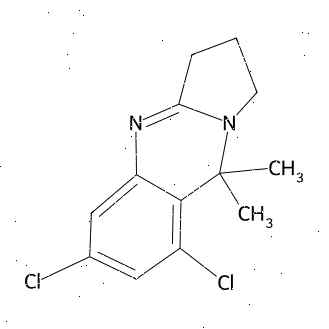 CC1(C)c2c(Cl)cc(Cl)cc2N=C2CCCN21